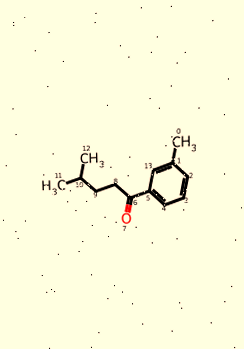 Cc1cccc(C(=O)CCC(C)C)c1